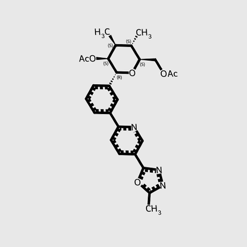 CC(=O)OC[C@H]1O[C@H](c2cccc(-c3ccc(-c4nnc(C)o4)cn3)c2)[C@@H](OC(C)=O)[C@@H](C)[C@@H]1C